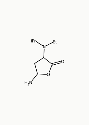 CCN(C(C)C)C1CC(N)OC1=O